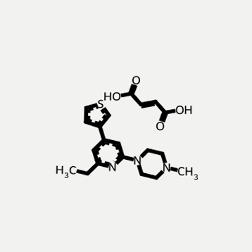 CCc1cc(-c2ccsc2)cc(N2CCN(C)CC2)n1.O=C(O)C=CC(=O)O